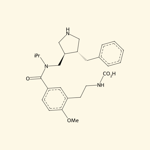 COc1ccc(C(=O)N(C[C@H]2CNC[C@@H]2Cc2ccccc2)C(C)C)cc1CCNC(=O)O